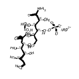 NC(=O)[C@H](O)[C@@H](O)[C@H](O)[C@H](O)CO.NC(=O)[C@H](O)[C@@H](O)[C@H](O)[C@H](O)CO.O=S(=O)(O)O.O=S(=O)([O-])[O-].[Mg+2]